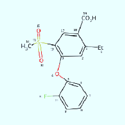 CCc1cc(Oc2ccccc2F)c(S(C)(=O)=O)cc1C(=O)O